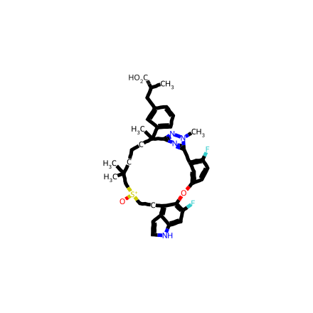 CC(Cc1cccc(C2(C)CCCC(C)(C)C[S+]([O-])CCc3c(c(F)cc4[nH]ccc34)Oc3ccc(F)c(c3)-c3nc2nn3C)c1)C(=O)O